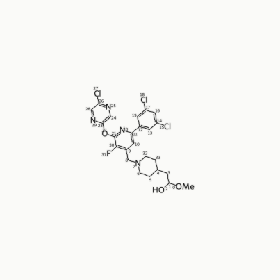 COC(O)CC1CCN(Cc2cc(-c3cc(Cl)cc(Cl)c3)nc(Oc3cnc(Cl)cn3)c2F)CC1